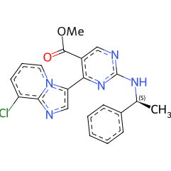 COC(=O)c1cnc(N[C@@H](C)c2ccccc2)nc1-c1cnc2c(Cl)cccn12